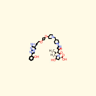 CC(C)[C@@H](C(=O)N1C[C@H](O)C[C@H]1C(=O)O)c1cc(N2CCC(CN3CCC(OC4CC(OCC#Cc5cn6cc(-c7ccccc7O)nc6nc5N)C4)CC3)CC2)no1